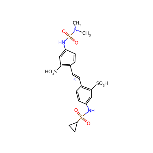 CN(C)S(=O)(=O)Nc1ccc(/C=C/c2ccc(NS(=O)(=O)C3CC3)cc2S(=O)(=O)O)c(S(=O)(=O)O)c1